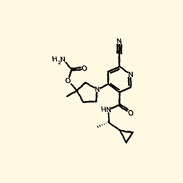 C[C@H](NC(=O)c1cnc(C#N)cc1N1CCC(C)(OC(N)=O)C1)C1CC1